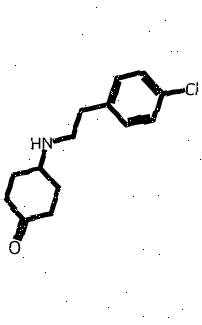 O=C1CCC(NCCc2ccc(Cl)cc2)CC1